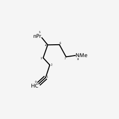 C#CCCC(CCC)CCNC